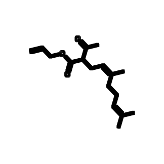 C=CCOC(=O)C(CC=C(C)CCC=C(C)C)C(C)=O